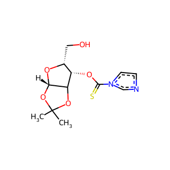 CC1(C)OC2[C@@H](O[C@H](CO)[C@@H]2OC(=S)n2ccnc2)O1